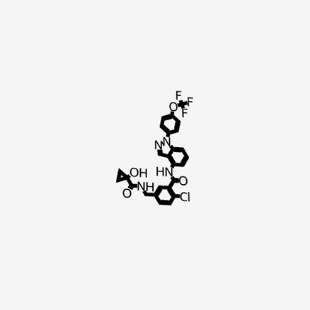 O=C(Nc1cccc2c1cnn2-c1ccc(OC(F)(F)F)cc1)c1cc(CNC(=O)C2(O)CC2)ccc1Cl